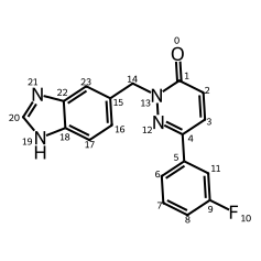 O=c1ccc(-c2cccc(F)c2)nn1Cc1ccc2[nH]cnc2c1